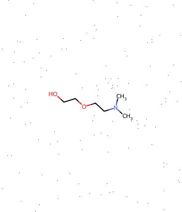 CN(C)CCOCCO